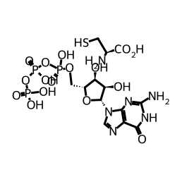 N[C@@H](CS)C(=O)O.Nc1nc2c(ncn2[C@@H]2O[C@H](COP(=O)(O)OP(=O)(O)OP(=O)(O)O)[C@@H](O)[C@H]2O)c(=O)[nH]1